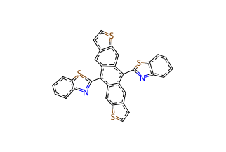 c1ccc2sc(-c3c4cc5ccsc5cc4c(-c4nc5ccccc5s4)c4cc5ccsc5cc34)nc2c1